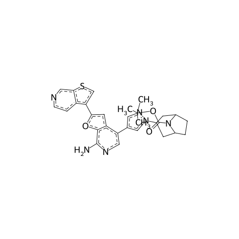 CC(C)(C)OC(=O)N1C2CCC1CC(n1cc(-c3cnc(N)c4oc(-c5csc6cnccc56)cc34)cn1)C2